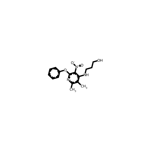 Cc1nc(Oc2ccccc2)c([N+](=O)[O-])c(NCCCO)c1C